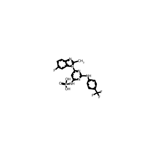 Cc1nc2ccc(F)cc2n1-c1cc(NP(=O)(O)O)nc(Nc2ccc(C(F)(F)F)cc2)n1